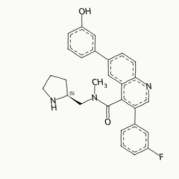 CN(C[C@@H]1CCCN1)C(=O)c1c(-c2cccc(F)c2)cnc2ccc(-c3cccc(O)c3)cc12